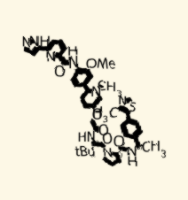 COc1cc(C2CCC(OCC(=O)N[C@H](C(=O)N3CCC[C@H]3C(=O)N[C@@H](C)c3ccc(-c4scnc4C)cc3)C(C)(C)C)CN2C)ccc1NC(=O)c1cccc(-c2ccn[nH]2)n1